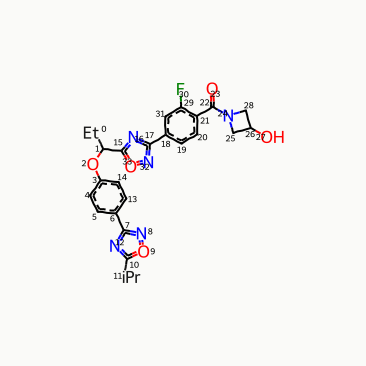 CCC(Oc1ccc(-c2noc(C(C)C)n2)cc1)c1nc(-c2ccc(C(=O)N3CC(O)C3)c(F)c2)no1